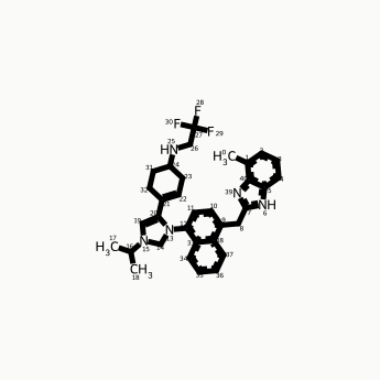 Cc1cccc2[nH]c(Cc3ccc(N4CN(C(C)C)C=C4C4=CCC(NCC(F)(F)F)CC4)c4ccccc34)nc12